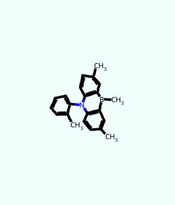 CB1c2cc(C)ccc2N(c2ccccc2C)c2ccc(C)cc21